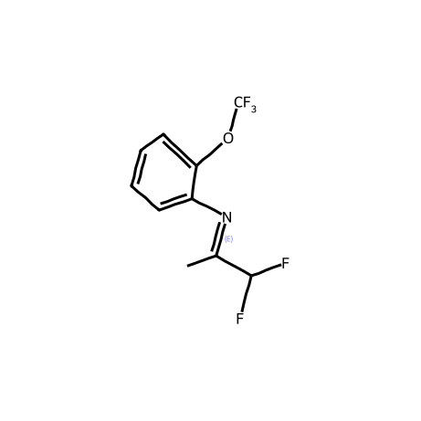 C/C(=N\c1ccccc1OC(F)(F)F)C(F)F